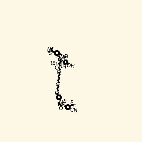 Cc1ncsc1-c1ccc(CNC(=O)[C@@H]2C[C@@H](O)CN2C(=O)[C@@H](NC(=O)COCCCCCOCCCOc2ccc(N3C(=S)N(c4ccc(C#N)c(C(F)F)c4)C(=O)C3(C)C)cc2)C(C)(C)C)cc1